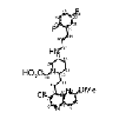 COc1ccc2ncc(Cl)c(CC[C@@H]3CC[C@@H](NC/C=C/c4cc(F)ccc4F)CN3CC(=O)O)c2n1